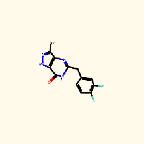 CC(C)c1n[nH]c2c(=O)[nH]c(Cc3ccc(F)c(F)c3)nc12